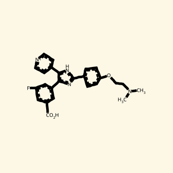 CN(C)CCOc1ccc(-c2nc(-c3cc(F)cc(C(=O)O)c3)c(-c3ccncc3)[nH]2)cc1